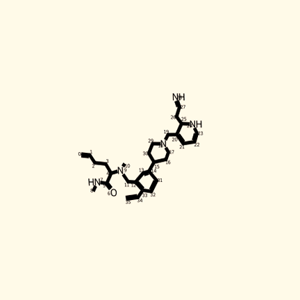 C=CCCC(C(=O)NC)N(C)Cc1cc(C2CCN(CC3=CC=CNC3CC=N)CC2)ccc1C=C